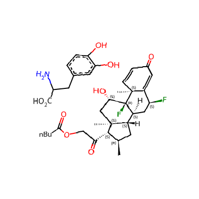 CCCCC(=O)OCC(=O)[C@H]1[C@H](C)C[C@H]2[C@@H]3C[C@H](F)C4=CC(=O)C=C[C@]4(C)[C@@]3(F)[C@@H](O)C[C@@]21C.NC(Cc1ccc(O)c(O)c1)C(=O)O